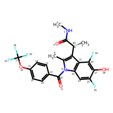 CNC(=O)[C@H](C)c1c(C)n(C(=O)c2ccc(OC(F)(F)F)cc2)c2cc(F)c(O)c(F)c12